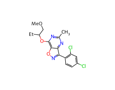 CCC(COC)Oc1nc(C)nc2c(-c3ccc(Cl)cc3Cl)noc12